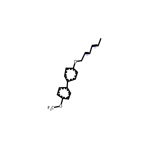 C/C=C/C=C/COc1ccc(-c2ccc(OC(F)(F)F)cc2)cc1